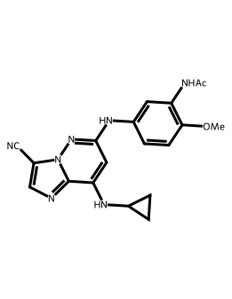 COc1ccc(Nc2cc(NC3CC3)c3ncc(C#N)n3n2)cc1NC(C)=O